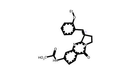 CCOc1ccccc1/C=C1/CCn2c1nc1cc(NC(=O)C(=O)O)ccc1c2=O